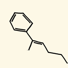 [CH2]CCC=C([CH2])c1ccccc1